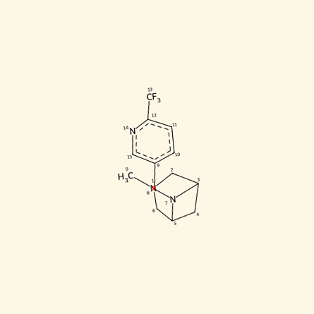 CN1CC2CC(C1)N2Cc1ccc(C(F)(F)F)nc1